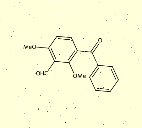 COc1ccc(C(=O)c2ccccc2)c(OC)c1[C]=O